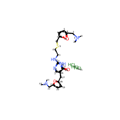 CN(C)Cc1ccc(CSCCNc2ncc(Cc3ccc(CN(C)C)o3)c(=O)[nH]2)o1.Cl.Cl.Cl